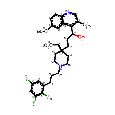 COc1ccc2ncc(C)c(C(O)CCC3(CC(=O)O)CCN(CCCc4cc(F)cc(F)c4F)CC3)c2c1